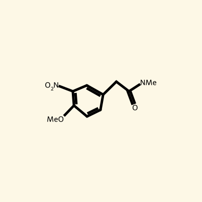 CNC(=O)Cc1ccc(OC)c([N+](=O)[O-])c1